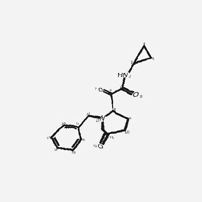 O=C(NC1CC1)C(=O)[C@H]1CCC(=O)N1Cc1ccccc1